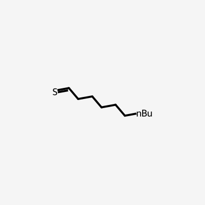 [CH2]CCCCCCCCC=S